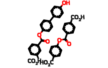 O=C(O)c1ccc(OC(=O)c2ccc(C(=O)O)cc2)cc1.O=C(O)c1cccc(C(=O)Oc2ccc(-c3ccc(O)cc3)cc2)c1